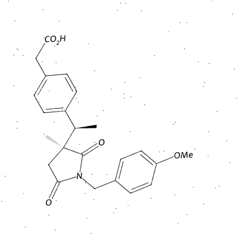 COc1ccc(CN2C(=O)C[C@@](C)([C@H](C)c3ccc(CC(=O)O)cc3)C2=O)cc1